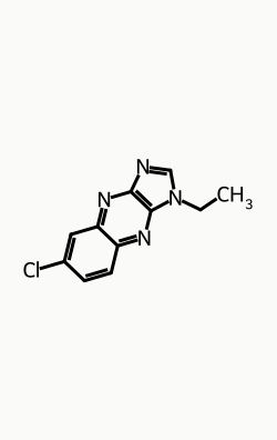 CCn1cnc2nc3cc(Cl)ccc3nc21